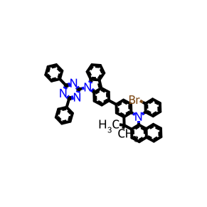 CC1(C)c2cc(-c3ccc4c(c3)c3ccccc3n4-c3nc(-c4ccccc4)nc(-c4ccccc4)n3)ccc2N(c2ccccc2Br)c2c1ccc1ccccc21